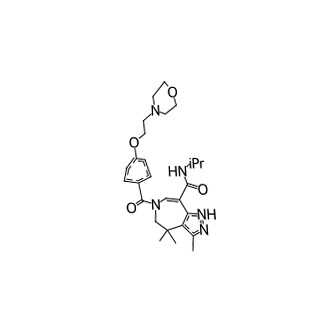 Cc1n[nH]c2c1C(C)(C)CN(C(=O)c1ccc(OCCN3CCOCC3)cc1)C=C2C(=O)NC(C)C